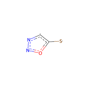 [S]c1[c]nno1